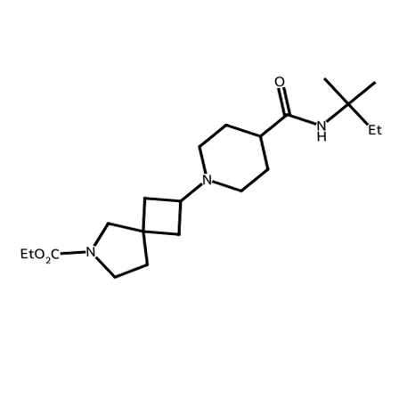 CCOC(=O)N1CCC2(CC(N3CCC(C(=O)NC(C)(C)CC)CC3)C2)C1